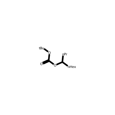 CCCCCCC(CCC)OC(=O)OC(C)(C)C